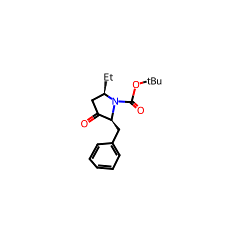 CC[C@@H]1CC(=O)[C@H](Cc2ccccc2)N1C(=O)OC(C)(C)C